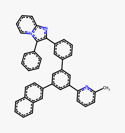 Cc1cccc(-c2cc(-c3cccc(-c4nc5ccccn5c4-c4ccccc4)c3)cc(-c3ccc4ccccc4c3)c2)n1